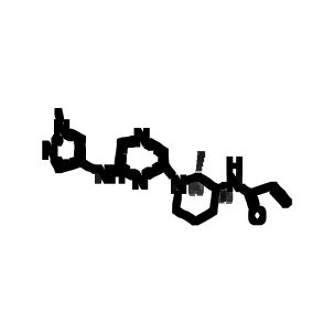 C=CC(=O)N[C@@H]1CCCN(c2cncc(Nc3cnn(C)c3)n2)[C@@H]1C